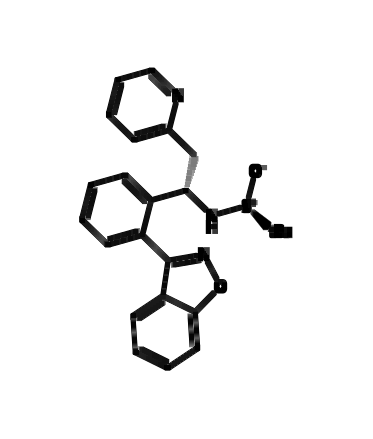 CC(C)(C)[S@+]([O-])N[C@@H](Cc1ccccn1)c1ccccc1-c1noc2ccccc12